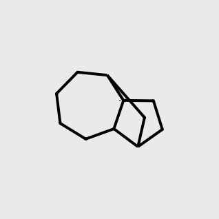 C1CCC2[C]3CCC2CC3C1